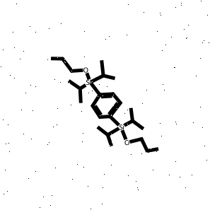 CCCO[Si](c1ccc([Si](OCCC)(C(C)C)C(C)C)cc1)(C(C)C)C(C)C